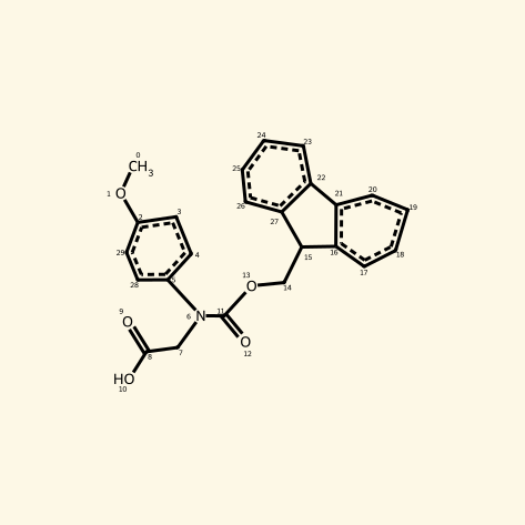 COc1ccc(N(CC(=O)O)C(=O)OCC2c3ccccc3-c3ccccc32)cc1